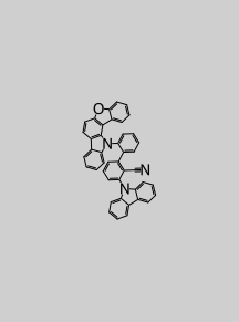 N#Cc1c(-c2ccccc2-n2c3ccccc3c3ccc4oc5ccccc5c4c32)cccc1-n1c2ccccc2c2ccccc21